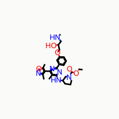 CCOC(=O)N1CCCC(Nc2nc(-c3cccc(OCC(O)CNC)c3)nc(-c3c(C)noc3C)c2C)C1